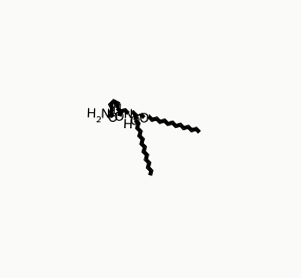 CCCCCCCCCCCCCCOC[C@H](CNCC(=O)N1CCCC1C(N)=O)OCCCCCCCCCCCCCC